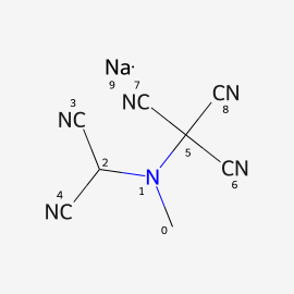 CN(C(C#N)C#N)C(C#N)(C#N)C#N.[Na]